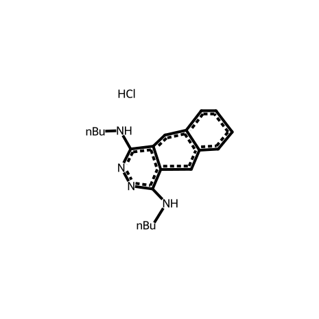 CCCCNc1nnc(NCCCC)c2cc3ccccc3cc12.Cl